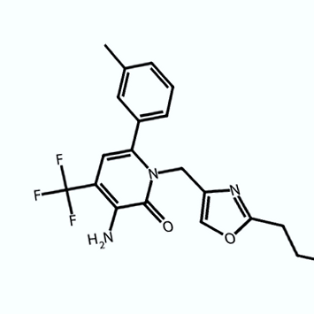 CCCc1nc(Cn2c(-c3cccc(C)c3)cc(C(F)(F)F)c(N)c2=O)co1